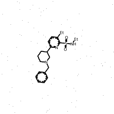 CCNS(=O)(=O)c1nc(C2CCCN(Cc3ccccc3)C2)ccc1CC